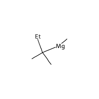 CC[C](C)(C)[Mg][CH3]